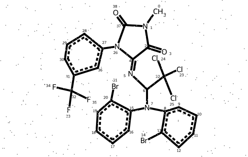 CN1C(=O)/C(=N\C(N(c2ccccc2Br)c2ccccc2Br)C(Cl)(Cl)Cl)N(c2cccc(C(F)(F)F)c2)C1=O